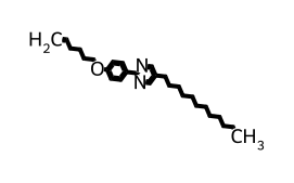 C=CCCCCOc1ccc(-c2ncc(CCCCCCCCCCCC)cn2)cc1